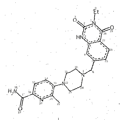 CCn1c(=O)[nH]c2cc(CN3CCN(c4ccc(C(N)=O)nc4C)CC3)ccc2c1=O